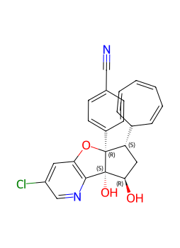 N#Cc1ccc([C@@]23Oc4cc(Cl)cnc4[C@]2(O)[C@H](O)C[C@H]3C2C=CC=CC=C2)cc1